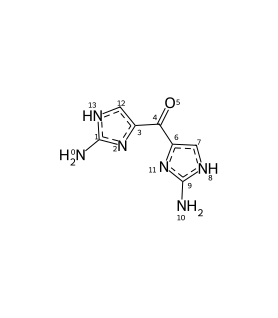 Nc1nc(C(=O)c2c[nH]c(N)n2)c[nH]1